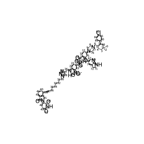 CC1(C)CCC(CN2CCN(c3ccc(C(=O)NS(=O)(=O)c4ccc(NCc5cn(CCCCCCCC#Cc6cccc7c6CN(C6CCC(=O)NC6=O)C7=O)nn5)c([N+](=O)[O-])c4)c(Oc4cnc5[nH]ccc5c4)c3)CC2)=C(c2ccc(Cl)cc2)C1